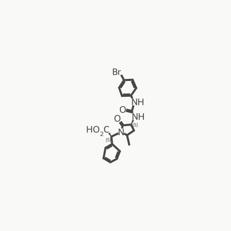 CC1C[C@H](NC(=O)Nc2ccc(Br)cc2)C(=O)N1[C@H](C(=O)O)c1ccccc1